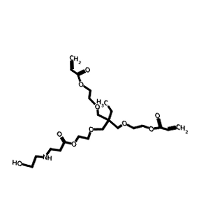 C=CC(=O)OCCOCC(CC)(COCCOC(=O)C=C)COCCOC(=O)CCNCCO